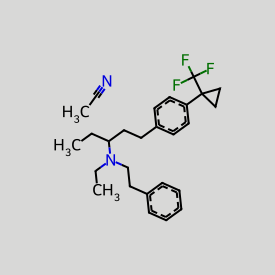 CC#N.CCC(CCc1ccc(C2(C(F)(F)F)CC2)cc1)N(CC)CCc1ccccc1